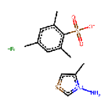 Br.Cc1cc(C)c(S(=O)(=O)[O-])c(C)c1.Cc1csc[n+]1N